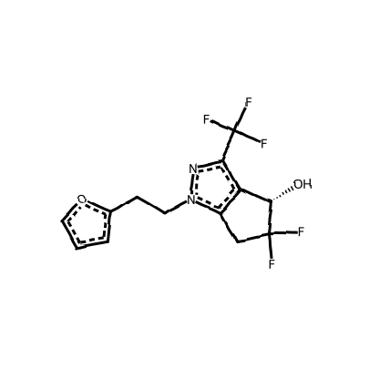 O[C@H]1c2c(C(F)(F)F)nn(CCc3ccco3)c2CC1(F)F